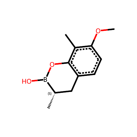 COc1ccc2c(c1C)OB(O)[C@@H](C)C2